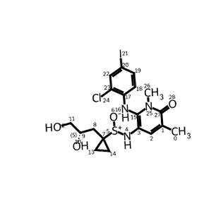 Cc1cc(N[S+]([O-])C2(C[C@H](O)CO)CC2)c(Nc2ccc(I)cc2Cl)n(C)c1=O